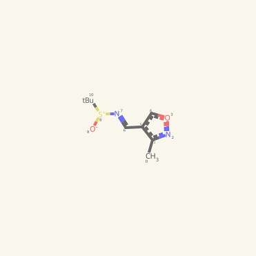 Cc1nocc1/C=N/[S+]([O-])C(C)(C)C